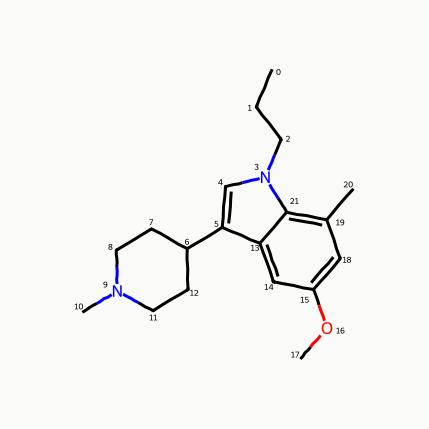 CCCn1cc(C2CCN(C)CC2)c2cc(OC)cc(C)c21